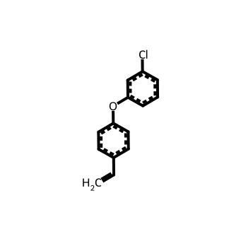 C=Cc1ccc(Oc2cccc(Cl)c2)cc1